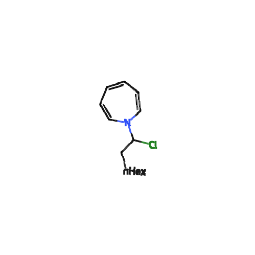 CCCCCCCC(Cl)N1C=CC=CC=C1